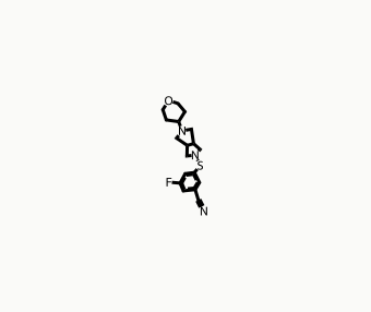 N#Cc1cc(F)cc(SN2CC3CN(C4CCOCC4)CC3C2)c1